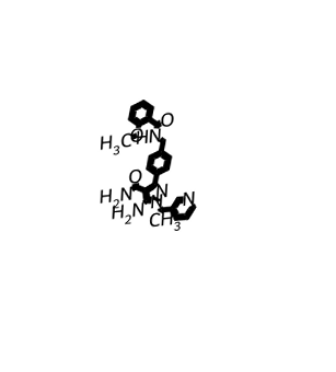 COc1ccccc1C(=O)NCc1ccc(-c2nn(C(C)c3cccnc3)c(N)c2C(N)=O)cc1